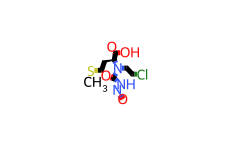 CSCC[C@@H](C(=O)O)N(CCCl)C(=O)NN=O